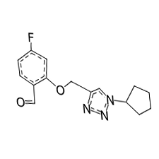 O=Cc1ccc(F)cc1OCc1cn(C2CCCC2)nn1